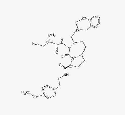 CC[C@H](N)C(=O)NC1C(=O)N2C(CCC1CN(CC)Cc1ccccc1)CC[C@H]2C(=O)NCCc1ccc(OC)cc1